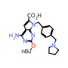 CCCCOc1nc(N)c2cc(C(=O)O)n(Cc3ccc(CN4CCCC4)cc3)c2n1